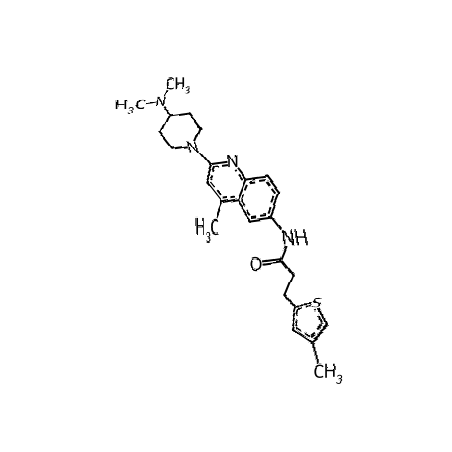 Cc1csc(CCC(=O)Nc2ccc3nc(N4CCC(N(C)C)CC4)cc(C)c3c2)c1